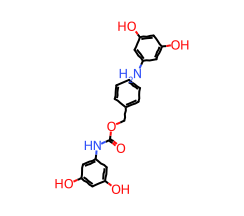 Nc1cc(O)cc(O)c1.O=C(Nc1cc(O)cc(O)c1)OCc1ccccc1